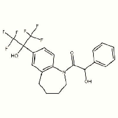 O=C(C(O)c1ccccc1)N1CCCCc2cc(C(O)(C(F)(F)F)C(F)(F)F)ccc21